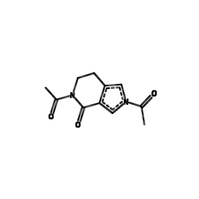 CC(=O)N1CCc2cn(C(C)=O)cc2C1=O